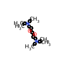 Cc1ccc(N(c2ccc(C)c(C)c2)c2ccc3c(ccc4c5cc6oc7c8ccc(N(c9ccc(C)cc9)c9ccc(C)c(C)c9)cc8ccc7c6cc5oc34)c2)cc1